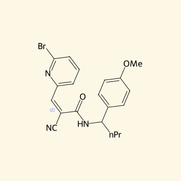 CCCC(NC(=O)/C(C#N)=C\c1cccc(Br)n1)c1ccc(OC)cc1